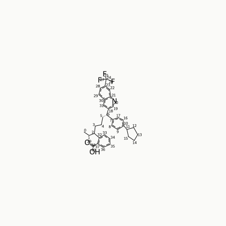 CCC(CCC[C@@H](c1ccc(C2CCCC2)cc1)c1cnc2cc(C(F)(F)F)ccc2c1)c1ccccc1C(=O)O